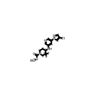 CCc1cnn(-c2cncc(NC3CCN(C(=O)OC(C)(C)C)CC3(F)F)c2)c1